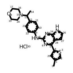 Cc1csc(-c2nc(Nc3ccc(C(C)N4CCOCC4)cc3)nc3[nH]ccc23)c1.Cl